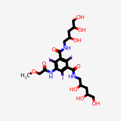 COCC(=O)Nc1c(I)c(C(=O)NCC(O)CC(O)CO)c(I)c(C(=O)NCC(O)CC(O)CO)c1I